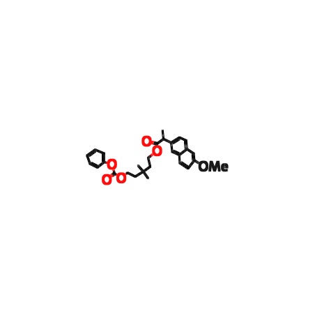 COc1ccc2cc(C(C)C(=O)OCCC(C)(C)CCOC(=O)Oc3ccccc3)ccc2c1